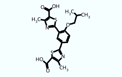 Cc1nc(-c2ccc(OCC(C)C)c(-c3nc(C)c(C(=O)O)s3)c2)sc1C(=O)O